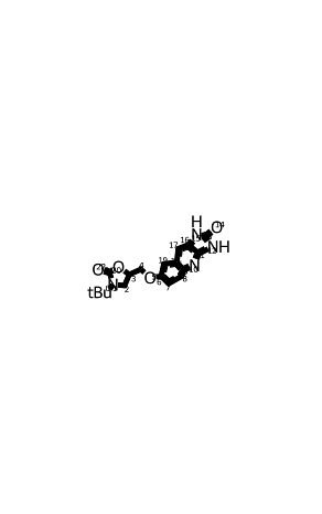 CC(C)(C)N1CC(COc2ccc3nc4[nH]c(=O)[nH]c4cc3c2)OC1=O